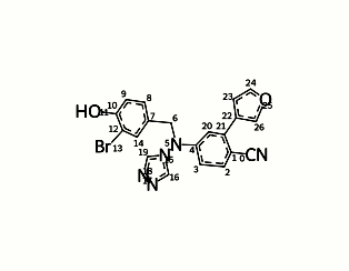 N#Cc1ccc(N(Cc2ccc(O)c(Br)c2)n2cnnc2)cc1-c1ccoc1